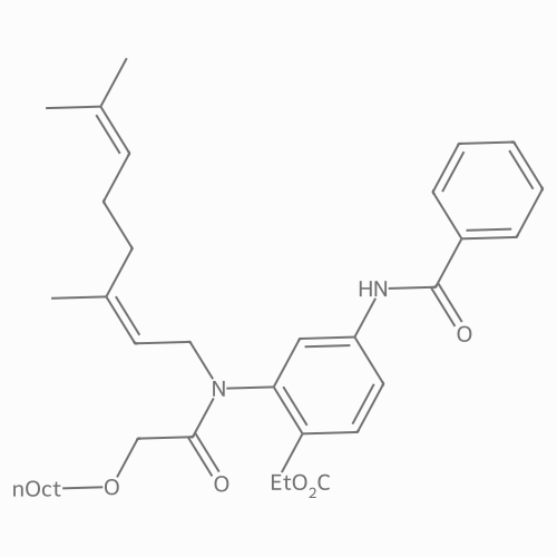 CCCCCCCCOCC(=O)N(CC=C(C)CCC=C(C)C)c1cc(NC(=O)c2ccccc2)ccc1C(=O)OCC